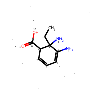 CCC1(N)C(N)=CC=CC1C(=O)O